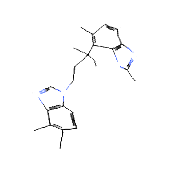 Cc1nc2ccc(C)c(C(C)(C)CCn3cnc4c(C(C)(C)C)c(C)ccc43)c2[nH]1